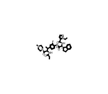 CCC(=O)NC(C(=O)N1CCN(C)CC1)C(C)c1ccc(NC(=O)C(NC(=O)c2ccnn2CC)[C@@H]2CCc3ccccc32)c(F)c1